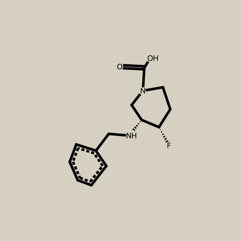 O=C(O)N1CC[C@H](F)[C@H](NCc2ccccc2)C1